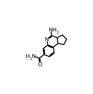 NC(=O)c1ccc2c(c1)N=C(N)C1CCCC21